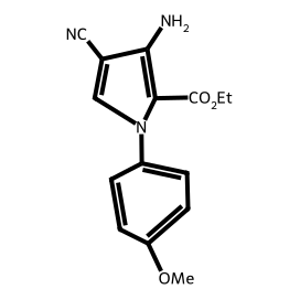 CCOC(=O)c1c(N)c(C#N)cn1-c1ccc(OC)cc1